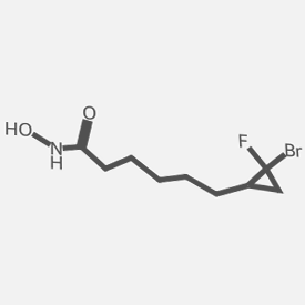 O=C(CCCCCC1CC1(F)Br)NO